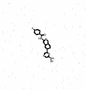 CC(C)Nc1cncc(-c2ccc3cnc(NC(=O)c4ccc(F)cc4)cc3c2)n1